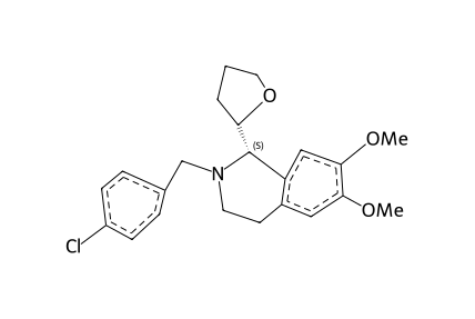 COc1cc2c(cc1OC)[C@@H](C1CCCO1)N(Cc1ccc(Cl)cc1)CC2